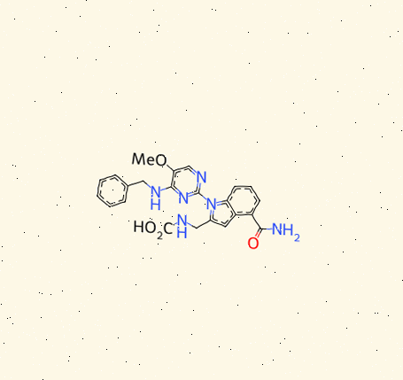 COc1cnc(-n2c(CNC(=O)O)cc3c(C(N)=O)cccc32)nc1NCc1ccccc1